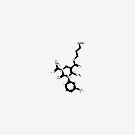 COCCCOC(=O)C1=C(C)N(c2cccc(C(F)(F)F)c2)C(=N)N(C(N)=O)C1